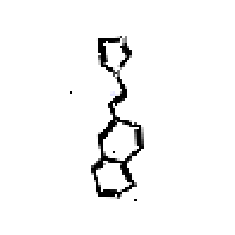 [c]1ccc2cc(/C=C/n3ccnc3)ccc2c1